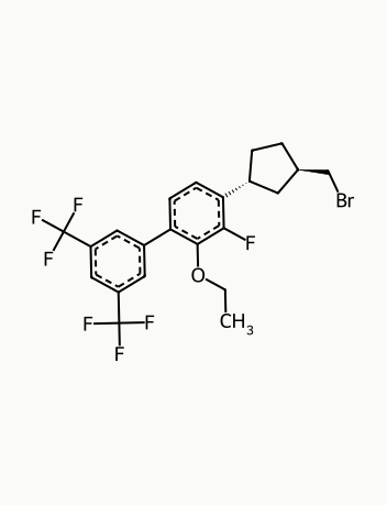 CCOc1c(-c2cc(C(F)(F)F)cc(C(F)(F)F)c2)ccc([C@@H]2CC[C@@H](CBr)C2)c1F